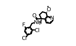 CO[C@H]1CC[C@@](F)(C(=O)NCc2c(F)cc(Cl)cc2Cl)c2cccnc21